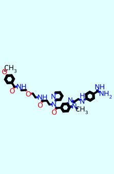 COc1ccc(C(=O)NCCOCCNC(=O)CCN(C(=O)c2ccc3c(c2)nc(CNc2ccc(C(=N)N)cc2)n3C)c2ccccn2)cc1